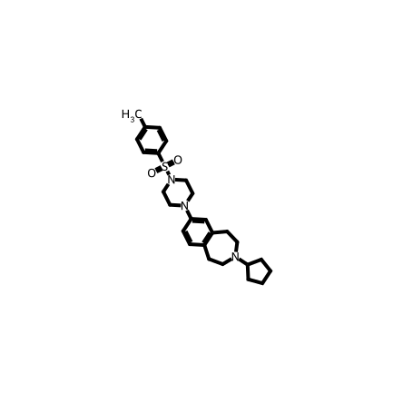 Cc1ccc(S(=O)(=O)N2CCN(c3ccc4c(c3)CCN(C3CCCC3)CC4)CC2)cc1